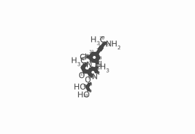 Cc1cnc(OCC(O)CO)c2c(=O)cc(C)n(-c3c(Cl)cc(C#CC(C)N)cc3Cl)c12